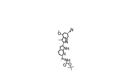 COc1cc(C#N)cn2nc(-c3cc4ccc([C@@H](C)NC(=O)OC(C)(C)C)nc4[nH]3)c(C)c12